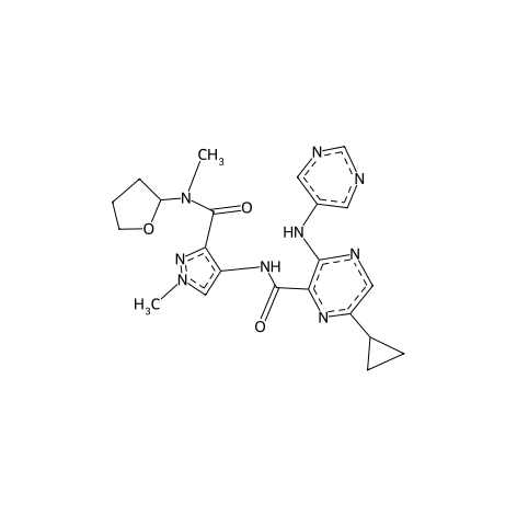 CN(C(=O)c1nn(C)cc1NC(=O)c1nc(C2CC2)cnc1Nc1cncnc1)C1CCCO1